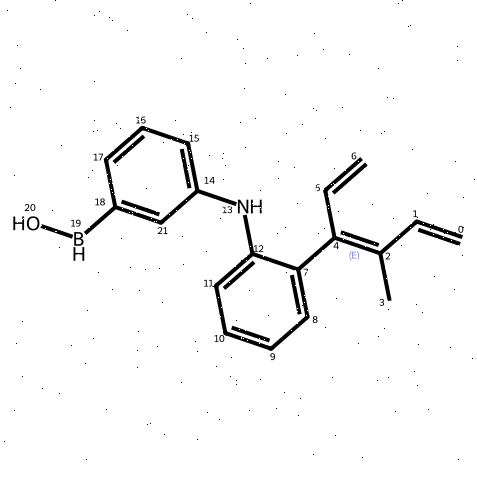 C=C/C(C)=C(\C=C)c1ccccc1Nc1cccc(BO)c1